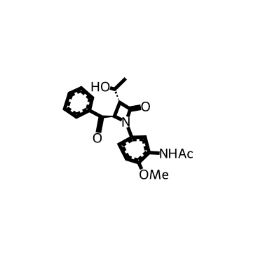 COc1ccc(N2C(=O)[C@@H](C(C)O)[C@@H]2C(=O)c2ccccc2)cc1NC(C)=O